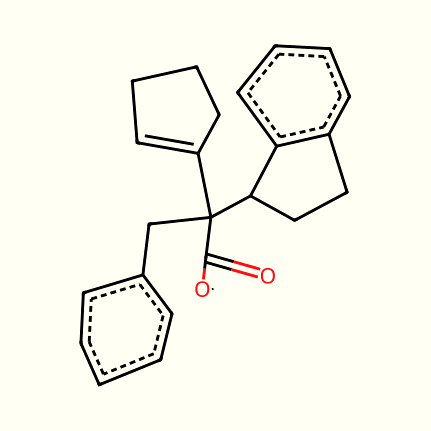 [O]C(=O)C(Cc1ccccc1)(C1=CCCC1)C1CCc2ccccc21